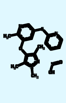 Cc1ncc(Sc2ccccn2)cc1Oc1c(C)nn(C)c1C.O=NO